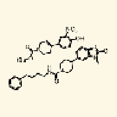 CC(C)(C)OC(=O)N1CC=C(c2ccc(O)c([N+](=O)[O-])c2)CC1.Cn1c(=O)oc2ccc(C3CCN(C(=O)NCCCCc4ccccc4)CC3)cc21